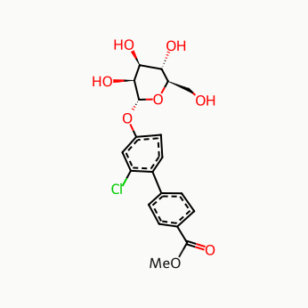 COC(=O)c1ccc(-c2ccc(O[C@H]3O[C@H](CO)[C@@H](O)[C@H](O)[C@@H]3O)cc2Cl)cc1